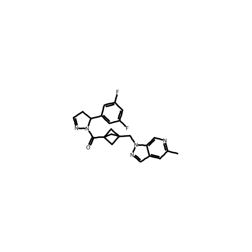 Cc1cc2cnn(CC34CC(C(=O)N5N=CCC5c5cc(F)cc(F)c5)(C3)C4)c2cn1